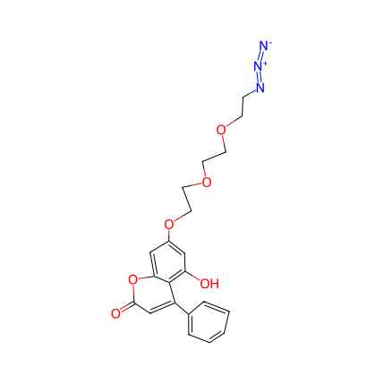 [N-]=[N+]=NCCOCCOCCOc1cc(O)c2c(-c3ccccc3)cc(=O)oc2c1